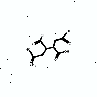 C=C(O)CC(C(=O)O)C(CC(=O)O)C(=O)O